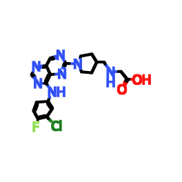 O=C(O)CNCC1CCN(c2ncc3ncnc(Nc4ccc(F)c(Cl)c4)c3n2)CC1